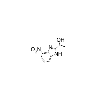 C[C@H](O)c1nc2c([N+](=O)[O-])cccc2[nH]1